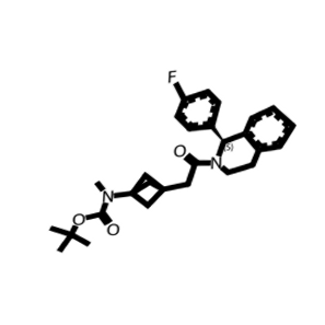 CN(C(=O)OC(C)(C)C)C12CC(CC(=O)N3CCc4ccccc4[C@@H]3c3ccc(F)cc3)(C1)C2